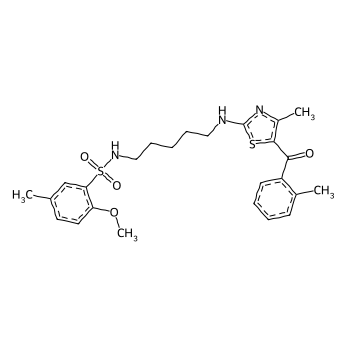 COc1ccc(C)cc1S(=O)(=O)NCCCCCNc1nc(C)c(C(=O)c2ccccc2C)s1